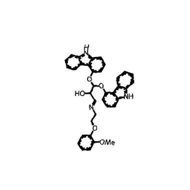 COc1ccccc1OCCN=CC(O)C(Oc1cccc2[nH]c3ccccc3c12)Oc1cccc2[nH]c3ccccc3c12